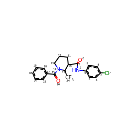 O=C(Nc1ccc(Cl)cc1)C1CCCN(C(=O)c2ccccc2)C1C(F)(F)F